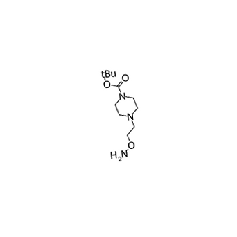 CC(C)(C)OC(=O)N1CCN(CCON)CC1